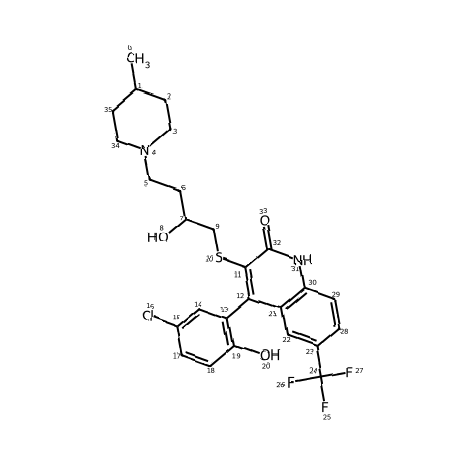 CC1CCN(CCC(O)CSc2c(-c3cc(Cl)ccc3O)c3cc(C(F)(F)F)ccc3[nH]c2=O)CC1